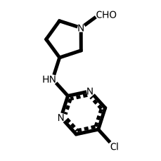 O=CN1CCC(Nc2ncc(Cl)cn2)C1